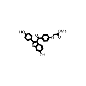 COC(=O)COc1ccc(C(=O)c2c(-c3ccc(O)cc3)sc3cc(O)ccc23)cc1